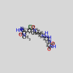 COc1cc(-c2cn(C)c(=O)c3[nH]ncc23)cc(Cl)c1C(=O)N1CCC(C2CCN(C3CCC(NC4CCC(=O)NC4=O)CN3)CC2)CC1